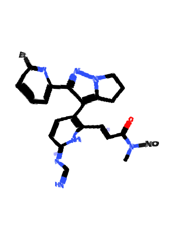 CCc1cccc(-c2nn3c(c2-c2cc/c(=N/C=N)[nH]c2/C=C/C(=O)N(C)N=O)CCC3)n1